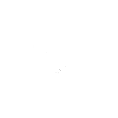 CN1c2ccccc2C(C(O)=S)c2c(-c3c(Cl)cccc3Cl)cccc21